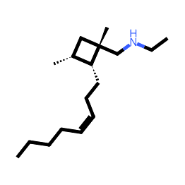 CCCC/C=C\CC[C@@H]1[C@H](C)C[C@]1(C)CNCC